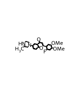 COc1cc(F)c(-c2cc(=O)c3cc(N4CCN[C@@H](C)C4)ccc3o2)cc1OC